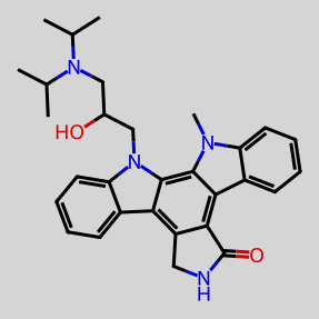 CC(C)N(CC(O)Cn1c2ccccc2c2c3c(c4c5ccccc5n(C)c4c21)C(=O)NC3)C(C)C